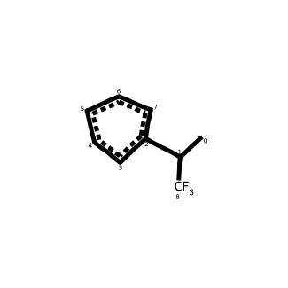 [CH2]C(c1ccccc1)C(F)(F)F